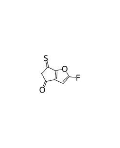 O=C1CC(=S)c2oc(F)cc21